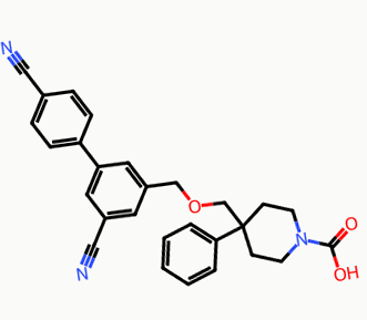 N#Cc1ccc(-c2cc(C#N)cc(COCC3(c4ccccc4)CCN(C(=O)O)CC3)c2)cc1